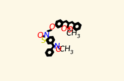 CO/N=C(\c1ccccc1)c1ccc2c(c1)sc(=O)n2CCOc1ccc(CC(Cc2ccccc2)C(=O)OC)cc1